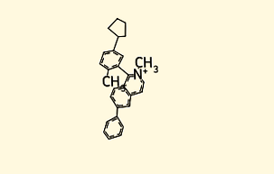 Cc1ccc(C2CCCC2)cc1-c1c2ccc(-c3ccccc3)cc2cc[n+]1C